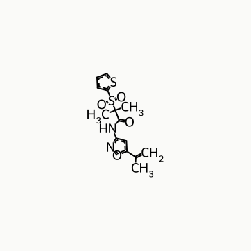 C=C(C)c1cc(NC(=O)C(C)(C)S(=O)(=O)c2cccs2)no1